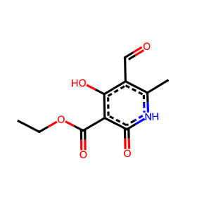 CCOC(=O)c1c(O)c(C=O)c(C)[nH]c1=O